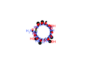 CCCC[C@H]1C(=O)N(C)CC(=O)N[C@@H](CC(=O)O)C(=O)N[C@@H](C(C)C)C(=O)N(C)[C@@H](Cc2ccccc2)C(=O)N[C@@H](Cc2c[nH]c3ccc(O)cc23)C(=O)N(C)CC(=O)N[C@@H](Cc2c[nH]c3ccccc23)C(=O)N[C@@H](Cc2ccc(O)cc2)C(=O)N[C@@H](CC(C)C)C(=O)N[C@H](C(=O)NCC(N)=O)CSCC(=O)N[C@@H](Cc2ccccc2)C(=O)N(C)[C@@H](Cc2ccccc2)C(=O)N1C